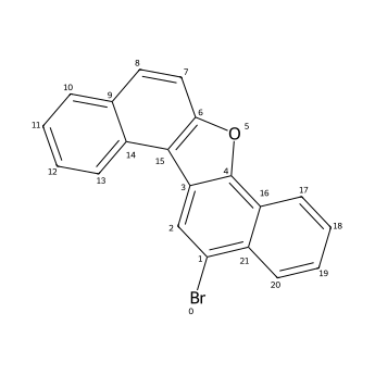 Brc1cc2c(oc3ccc4ccccc4c32)c2ccccc12